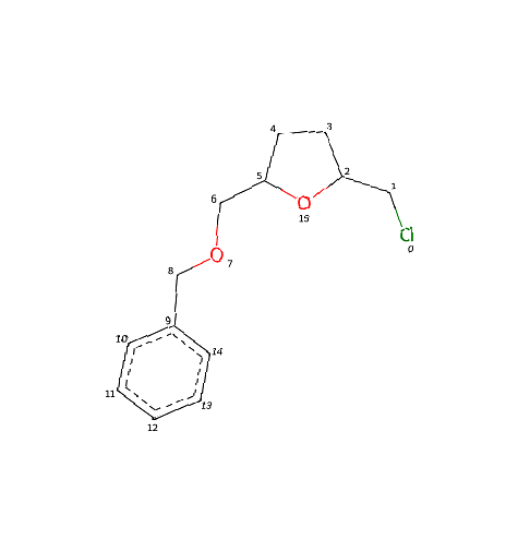 ClCC1CCC(COCc2ccccc2)O1